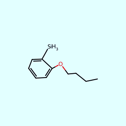 CCCCOc1ccccc1[SiH3]